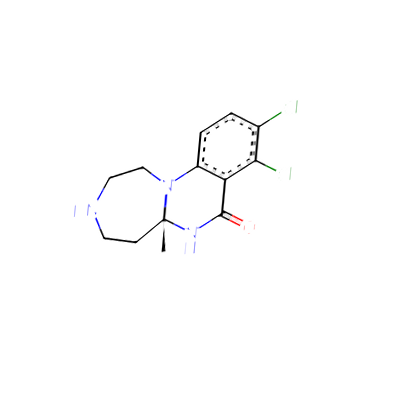 C[C@@]12CCNCCN1c1ccc(Cl)c(Cl)c1C(=O)N2